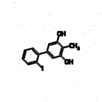 Cc1c(O)cc(-c2ccccc2I)cc1O